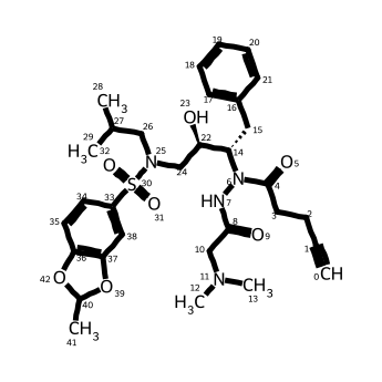 C#CCCC(=O)N(NC(=O)CN(C)C)[C@@H](Cc1ccccc1)[C@H](O)CN(CC(C)C)S(=O)(=O)c1ccc2c(c1)OC(C)O2